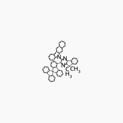 CC1(C)c2ccccc2-c2nc(-n3c4ccccc4c4cc5ccccc5cc43)c(-c3cccc4c3-c3ccccc3C43c4ccccc4-c4ccccc43)nc21